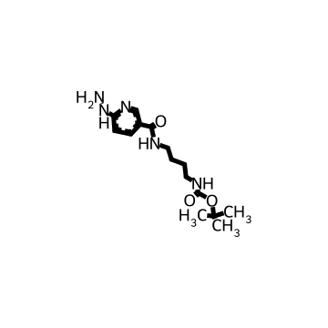 CC(C)(C)OC(=O)NCCCCNC(=O)c1ccc(NN)nc1